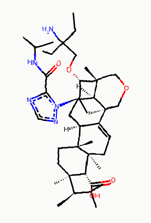 CCC(N)(CC)CO[C@H]1[C@H](n2ncnc2C(=O)NC(C)C)C[C@@]23COC[C@]1(C)[C@@H]2CC[C@H]1C3=CC[C@@]2(C)[C@H](C(=O)O)[C@@](C)([C@H](C)C(C)C)CC[C@]12C